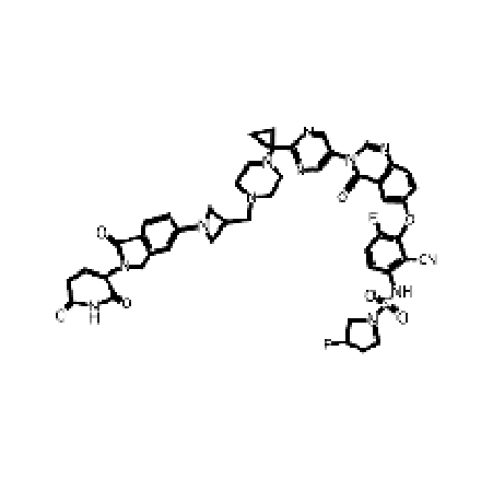 N#Cc1c(NS(=O)(=O)N2CC[C@@H](F)C2)ccc(F)c1Oc1ccc2ncn(-c3cnc(C4(N5CCN(CC6CN(c7ccc8c(c7)CN(C7CCC(=O)NC7=O)C8=O)C6)CC5)CC4)nc3)c(=O)c2c1